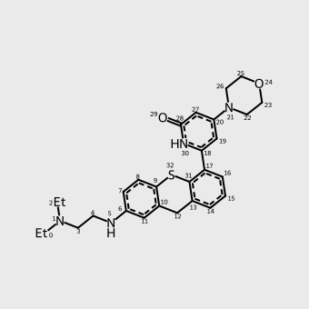 CCN(CC)CCNc1ccc2c(c1)Cc1cccc(-c3cc(N4CCOCC4)cc(=O)[nH]3)c1S2